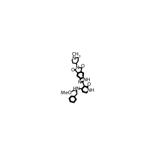 COC[C@H](Cc1ccccc1)Nc1cc[nH]c(=O)c1-c1nc2cc3c(cc2[nH]1)C(=O)N(C1CCN(C)CC1)C3=O